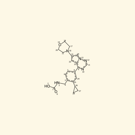 O=C(O)NCc1ccc(-c2ncnn3cc(N4CCOCC4)cc23)cc1C1CC1